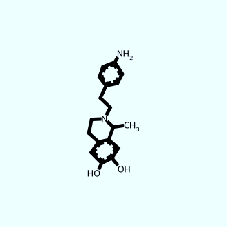 CC1c2cc(O)c(O)cc2CCN1CCc1ccc(N)cc1